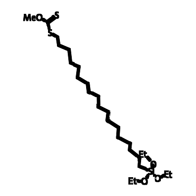 CCO[Si](CCCCCCCCCCCCCCCCCCSC(=S)OC)(OCC)OCC